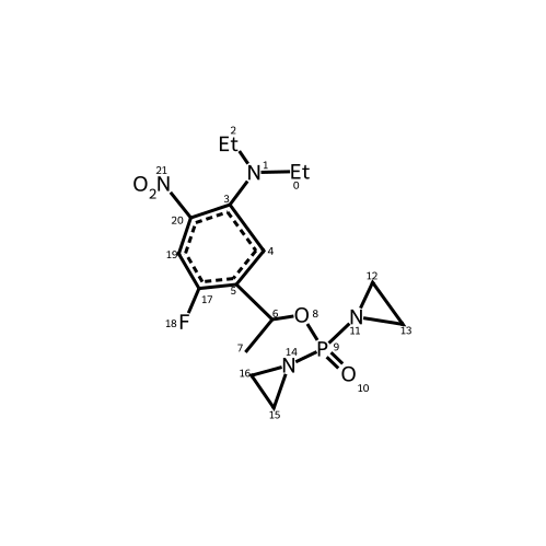 CCN(CC)c1cc(C(C)OP(=O)(N2CC2)N2CC2)c(F)cc1[N+](=O)[O-]